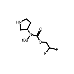 CC(C)(C)N(C(=O)OCC(F)F)[C@@H]1CCNC1